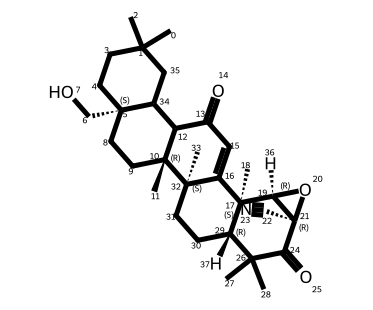 CC1(C)CC[C@]2(CO)CC[C@]3(C)C(C(=O)C=C4[C@@]5(C)[C@H]6O[C@@]6(C#N)C(=O)C(C)(C)[C@@H]5CC[C@]43C)C2C1